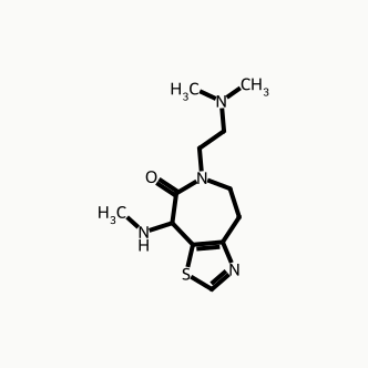 CNC1C(=O)N(CCN(C)C)CCc2ncsc21